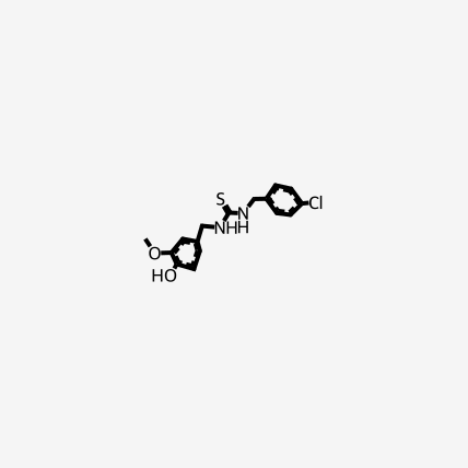 COc1cc(CNC(=S)NCc2ccc(Cl)cc2)ccc1O